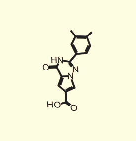 Cc1ccc(-c2nn3cc(C(=O)O)cc3c(=O)[nH]2)cc1C